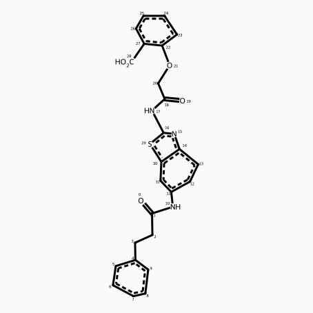 O=C(CCc1ccccc1)Nc1ccc2nc(NC(=O)COc3ccccc3C(=O)O)sc2c1